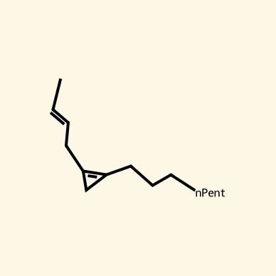 [CH2]CCCCCCCC1=C(C/C=C/C)C1